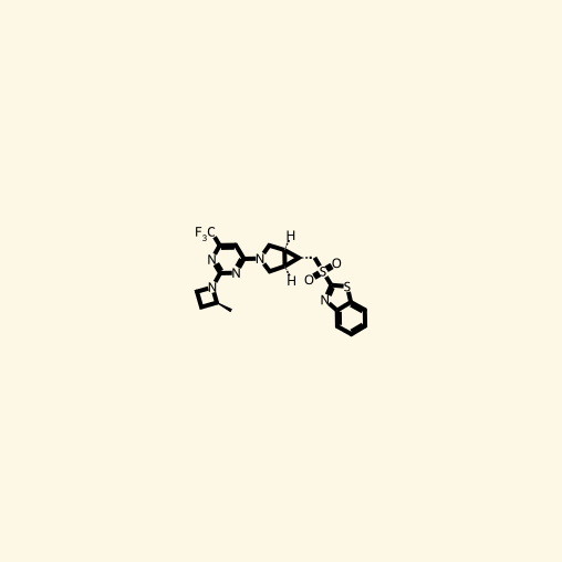 C[C@H]1CCN1c1nc(N2C[C@@H]3[C@H](C2)[C@H]3CS(=O)(=O)c2nc3ccccc3s2)cc(C(F)(F)F)n1